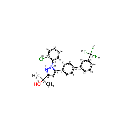 CC(C)(O)c1cc(-c2ccc(-c3cccc(C(F)(F)F)c3)cc2)n(-c2ccccc2Cl)n1